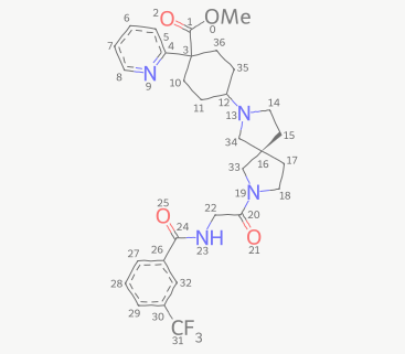 COC(=O)C1(c2ccccn2)CCC(N2CC[C@]3(CCN(C(=O)CNC(=O)c4cccc(C(F)(F)F)c4)C3)C2)CC1